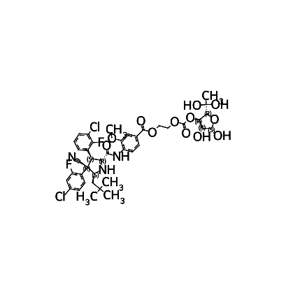 COc1cc(C(=O)OCCOC(=O)O[C@@H]2[C@@H](O)[C@@H](O)O[C@H]2C(C)(O)O)ccc1NC(=O)[C@@H]1N[C@@H](CC(C)(C)C)[C@](C#N)(c2ccc(Cl)cc2F)[C@H]1c1cccc(Cl)c1F